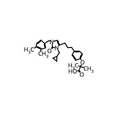 Cc1ccc(Cn2cc(CCCc3ccc(OC(C)(C)C(=O)O)cc3)n(CC3CC3)c2=O)cc1C